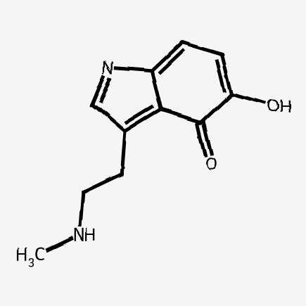 CNCCC1=C2C(=O)C(O)=CC=C2N=C1